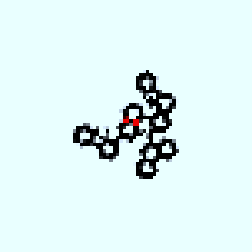 c1cc(-c2cccc3c2oc2ccccc23)cc(N(c2ccccc2-c2ccccc2-n2c3ccccc3c3ccccc32)c2cc3ccccc3c3ccccc23)c1